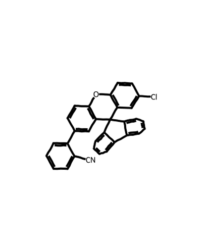 N#Cc1ccccc1-c1ccc2c(c1)C1(c3cc(Cl)ccc3O2)c2ccccc2-c2ccccc21